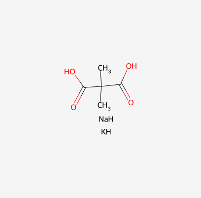 CC(C)(C(=O)O)C(=O)O.[KH].[NaH]